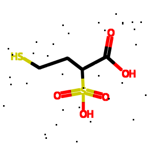 O=C(O)C(CCS)S(=O)(=O)O